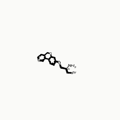 CC(C)C[C@@H](N)COc1ccc2c(c1)OCc1ccncc1-2